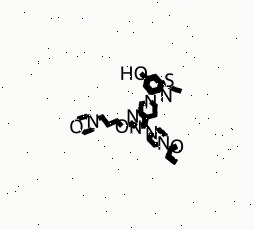 C=CC(=O)N1CCN(c2nc(OCCCN3CCOCC3)nc3c2CCN(c2cc(O)cc4sc(C)nc24)C3)CC1